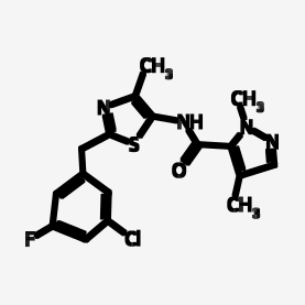 Cc1cnn(C)c1C(=O)Nc1sc(Cc2cc(F)cc(Cl)c2)nc1C